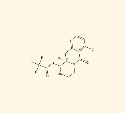 O=C1c2c(Cl)cccc2C[C@@H]2C(OC(=O)C(F)(F)F)NCCN12